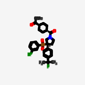 COC(=O)[C@H]1CC[C@H](C(=O)N2CC[C@](c3ccc(C(F)(C(F)(F)F)C(F)(F)F)cc3)(S(=O)(=O)c3cccc(Br)c3)C2)CC1